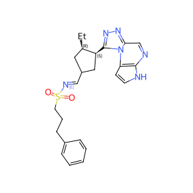 CC[C@@H]1CC(/C=N/S(=O)(=O)CCCc2ccccc2)C[C@@H]1c1nnc2cnc3[nH]ccc3n12